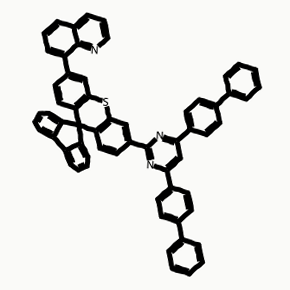 c1ccc(-c2ccc(-c3cc(-c4ccc(-c5ccccc5)cc4)nc(-c4ccc5c(c4)Sc4cc(-c6cccc7cccnc67)ccc4C54c5ccccc5-c5ccccc54)n3)cc2)cc1